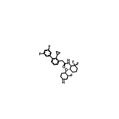 O=C(Cc1cccc(-c2cc(F)cc(F)c2)c1C1CC1)N[C@@H]1[C@@H](O[C@@H]2CCNC[C@@H]2F)CCCC1(F)F